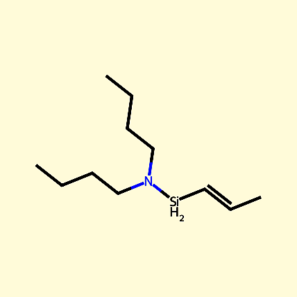 CC=C[SiH2]N(CCCC)CCCC